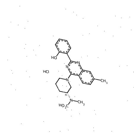 Cc1ccc2c(N3CCC[C@@H](N(C)C(=O)O)C3)nc(-c3ccccc3O)nc2c1.Cl